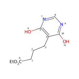 CCOC(=O)CCCc1c(O)ncnc1O